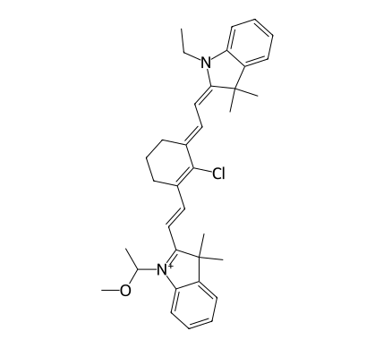 CCN1/C(=C/C=C2\CCCC(/C=C/C3=[N+](C(C)OC)c4ccccc4C3(C)C)=C2Cl)C(C)(C)c2ccccc21